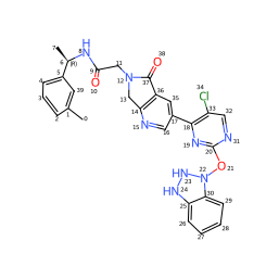 Cc1cccc([C@@H](C)NC(=O)CN2Cc3ncc(-c4nc(ON5NNc6ccccc65)ncc4Cl)cc3C2=O)c1